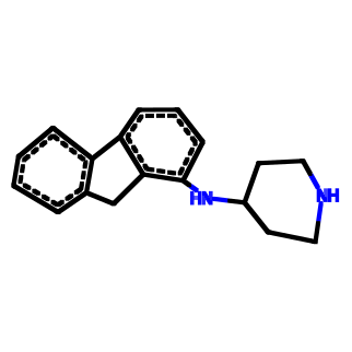 c1ccc2c(c1)Cc1c(NC3CCNCC3)cccc1-2